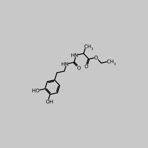 CCOC(=O)C(C)NC(=O)NCCc1ccc(O)c(O)c1